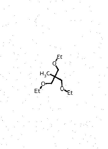 CCOCC(C)(COCC)COCC